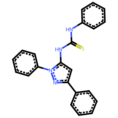 S=C(Nc1ccccc1)Nc1cc(-c2ccccc2)nn1-c1ccccc1